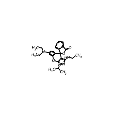 CCNc1nn(C(C)C)c2c1C1(OC(=O)c3ccccc31)c1ccc(N(CC)CC)cc1O2